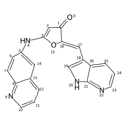 O=C1C=C(Nc2ccc3ncccc3c2)OC1=Cc1c[nH]c2ncccc12